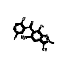 Cn1nc2c(C#N)c(C(=O)c3cc(F)ccc3Cl)c(N)cc2c1C#N